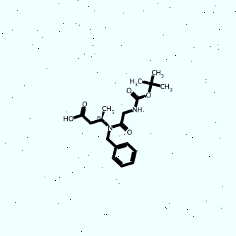 C[C@H](CC(=O)O)N(Cc1ccccc1)C(=O)CNC(=O)OC(C)(C)C